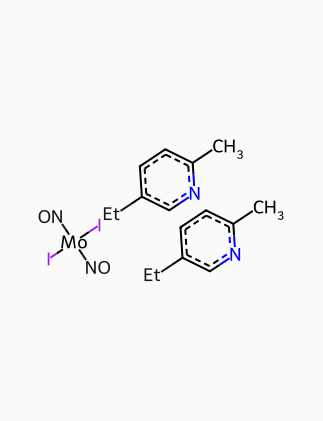 CCc1ccc(C)nc1.CCc1ccc(C)nc1.O=[N][Mo]([I])([I])[N]=O